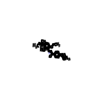 C=CC(C)(C)c1ccc(OCC)c(/C=C/C(=O)c2ccc(NC)cc2)c1O